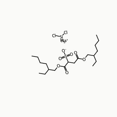 CCCCC(CC)COC(=O)CC(C(=O)OCC(CC)CCCC)S(=O)(=O)[O-].Cl[SiH2]Cl.[Na+]